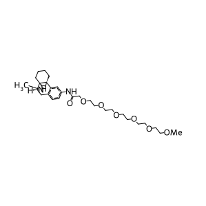 COCCOCCOCCOCCOCCOCC(=O)Nc1ccc2c(c1)[C@@]13CCCC[C@H]1[C@@H](C2)N(C)CC3